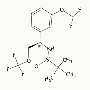 CC(C)(C)[S+]([O-])N[C@@H](COC(F)(F)F)c1cccc(OC(F)F)c1